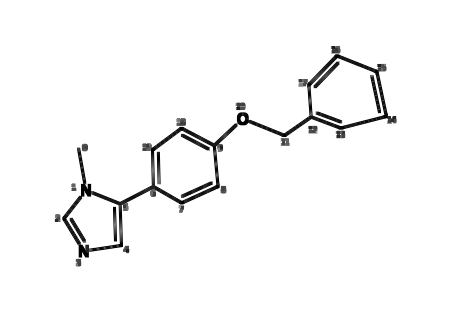 Cn1cncc1-c1ccc(OCc2ccccc2)cc1